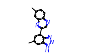 Cc1ccc2ncc(-c3cc(C)cc4[nH]nnc34)nc2c1